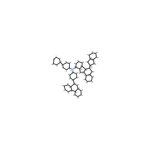 C1CCC(C2CCC(N(C3CCC(C4CC5CCCCC5C5CCCCC45)CC3)C3CCCC4C3CC3C5CCCCC5CC(C5CC6CCCCC6C5)C34)CC2)CC1